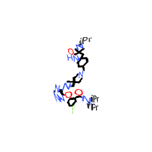 CC(C)N1CC2(C1)CC1(CCC(CN3CCC4(CC3)CN(c3ncnnc3Oc3ccc(F)cc3C(=O)N(C(C)C)C(C)C)C4)CC1)NC2=O